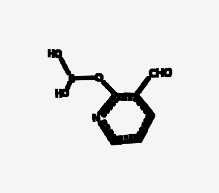 O=Cc1cccnc1OB(O)O